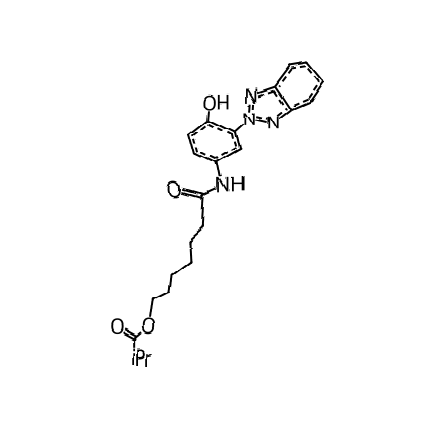 CC(C)C(=O)OCCCCCCC(=O)Nc1ccc(O)c(-n2nc3ccccc3n2)c1